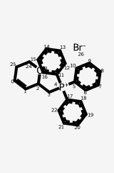 C1=CC(C[P+](c2ccccc2)(c2ccccc2)c2ccccc2)OCC1.[Br-]